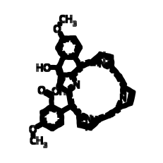 COc1ccc(-c2c3nc(c(-c4ccc(OC)cc4C(=O)O)c4ccc(cc5nc(cc6ccc2[nH]6)C=C5)[nH]4)C=C3)c(C(=O)O)c1